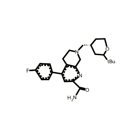 CC(C)(C)C1C[C@H](CN2CCc3c(-c4ccc(F)cc4)cc(C(N)=O)nc3C2)CCO1